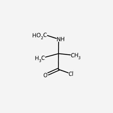 CC(C)(NC(=O)O)C(=O)Cl